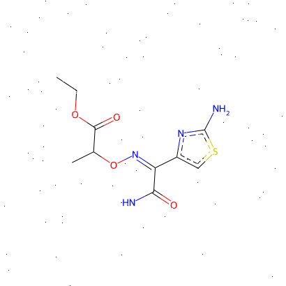 CCOC(=O)C(C)O/N=C(\C([NH])=O)c1csc(N)n1